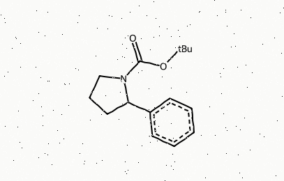 CC(C)(C)OC(=O)N1CCCC1c1[c]cccc1